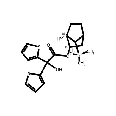 C[N+](C)(C)C1C2CC[C@@H]1[C@H](OC(=O)C(O)(c1cccs1)c1cccs1)C2